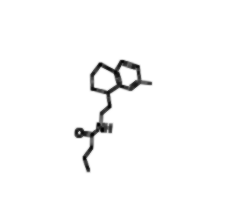 CCCC(=O)NCCC1CCCc2ccc(C)cc21